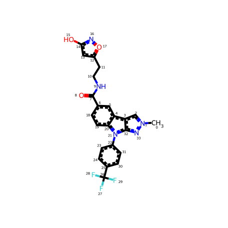 Cn1cc2c3cc(C(=O)NCCc4cc(O)no4)ccc3n(-c3ccc(C(F)(F)F)cc3)c2n1